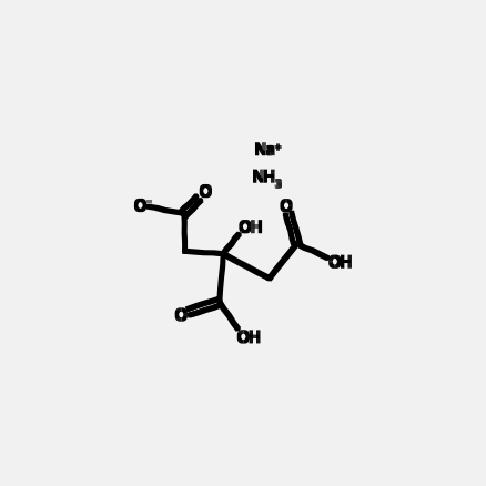 N.O=C([O-])CC(O)(CC(=O)O)C(=O)O.[Na+]